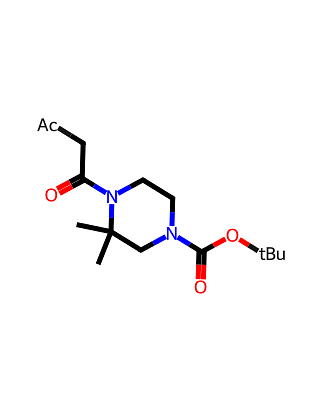 CC(=O)CC(=O)N1CCN(C(=O)OC(C)(C)C)CC1(C)C